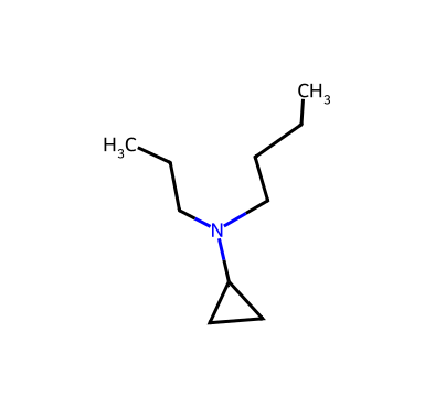 CCCCN(CCC)[C]1CC1